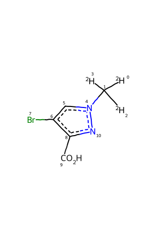 [2H]C([2H])([2H])n1cc(Br)c(C(=O)O)n1